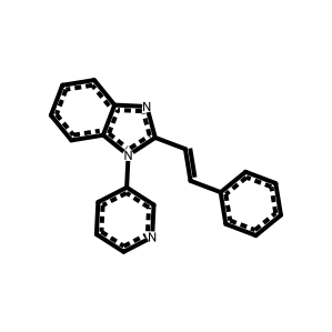 C(=Cc1nc2ccccc2n1-c1cccnc1)c1ccccc1